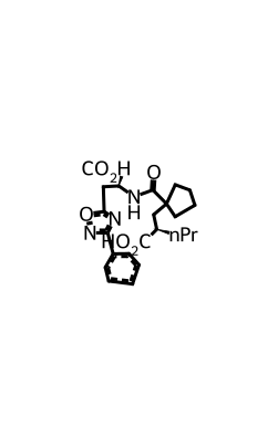 CCC[C@H](CC1(C(=O)N[C@@H](Cc2nc(-c3ccccc3)no2)C(=O)O)CCCC1)C(=O)O